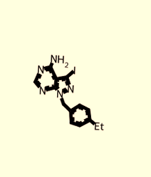 CCc1ccc(Cn2nc(I)c3c(N)ncnc32)cc1